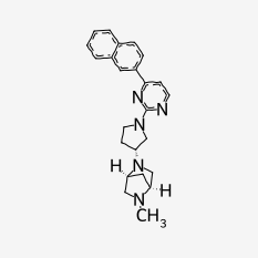 CN1C[C@@H]2C[C@H]1CN2[C@@H]1CCN(c2nccc(-c3ccc4ccccc4c3)n2)C1